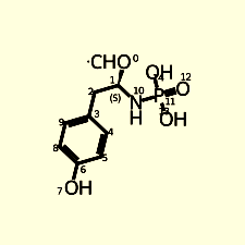 O=[C][C@H](Cc1ccc(O)cc1)NP(=O)(O)O